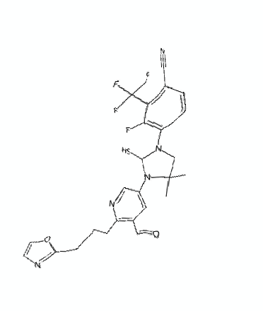 CC1(C)CN(c2ccc(C#N)c(C(F)(F)F)c2F)C(S)N1c1cnc(CCCc2ncco2)c(C=O)c1